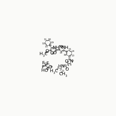 CCC(CC)NC(=O)c1cnc(-c2cccc(-c3cc(C(=O)N[C@@H](C(=O)OC)c4ccccc4)n[nH]3)c2)o1.O=C(O)C(F)(F)F